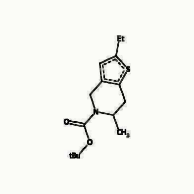 CCc1cc2c(s1)CC(C)N(C(=O)OC(C)(C)C)C2